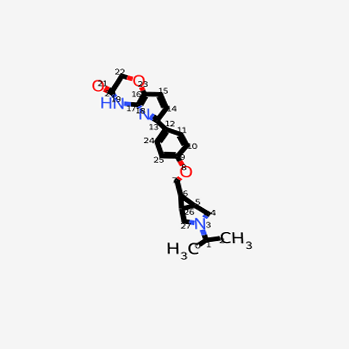 CC(C)N1CC2C(COc3ccc(-c4ccc5c(n4)NC(=O)CO5)cc3)C2C1